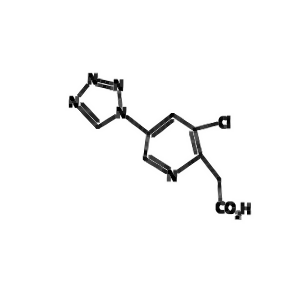 O=C(O)Cc1ncc(-n2cnnn2)cc1Cl